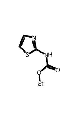 CCOC(=O)Nc1nccs1